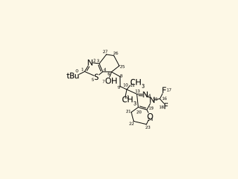 CC(C)(C)c1nc2c(s1)C(O)(CCC(C)(C)c1nn(C(F)F)c3c1CCCO3)CCC2